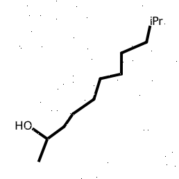 CC(C)CCCCCCCC(C)O